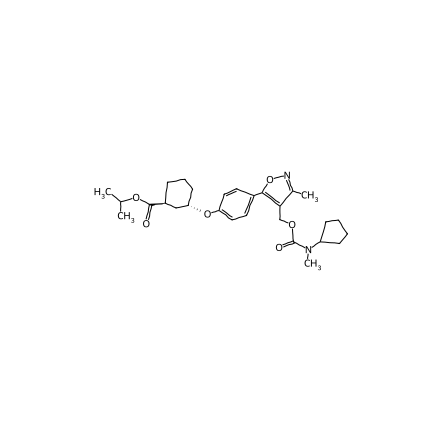 Cc1noc(-c2ccc(O[C@H]3CCC[C@H](C(=O)OC(C)C)C3)cc2)c1COC(=O)N(C)C1CCCC1